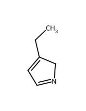 CCC1=CC=NC1